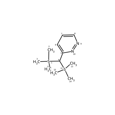 CS(C)(C)C(c1cccnn1)S(C)(C)C